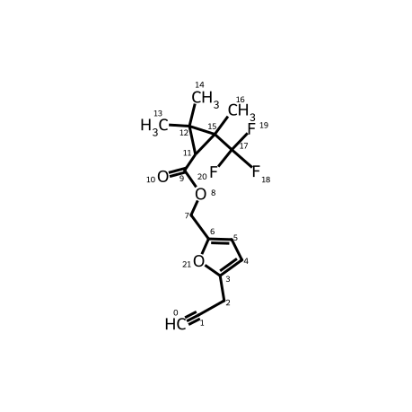 C#CCc1ccc(COC(=O)C2C(C)(C)C2(C)C(F)(F)F)o1